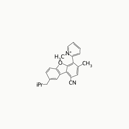 Cc1cc(C#N)c2c(oc3ccc(CC(C)C)cc32)c1-c1cccc[n+]1C